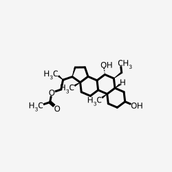 CC[C@@H]1[C@@H](O)C2C3CC[C@H]([C@H](C)COC(C)=O)[C@@]3(C)CCC2[C@@]2(C)CCC(O)C[C@@H]12